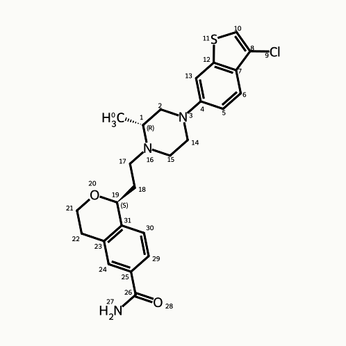 C[C@@H]1CN(c2ccc3c(Cl)csc3c2)CCN1CC[C@@H]1OCCc2cc(C(N)=O)ccc21